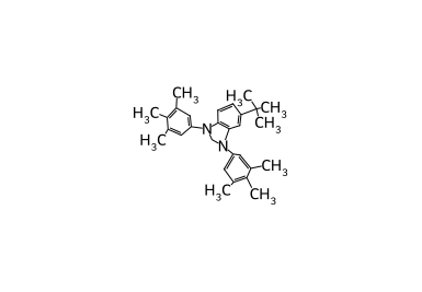 Cc1cc(N2CN(c3cc(C)c(C)c(C)c3)c3cc(C(C)(C)C)ccc32)cc(C)c1C